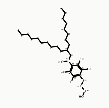 CCCCCCCCCCC(CCCCCCCC)C[S+]([O-])c1c(F)c(F)c(SOOO)c(F)c1F